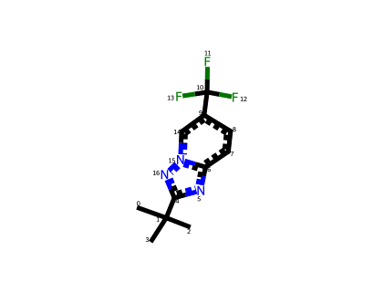 CC(C)(C)c1nc2ccc(C(F)(F)F)cn2n1